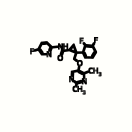 Cc1ncc(OCC2(c3cccc(F)c3F)CC2C(=O)Nc2ccc(F)cn2)c(C)n1